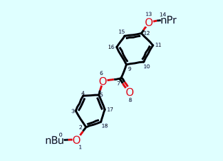 CCCCOc1ccc(OC(=O)c2ccc(OCCC)cc2)cc1